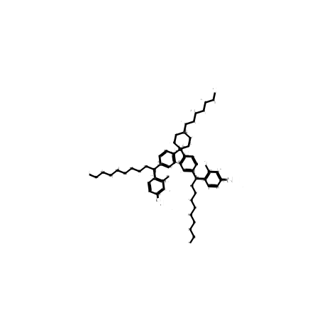 CCCCCCCCCC(c1ccc(C2(c3ccc(C(CCCCCCCCC)c4ccc(N)cc4C)cc3)CCC(CCCCCCC)CC2)cc1)c1ccc(N)cc1C